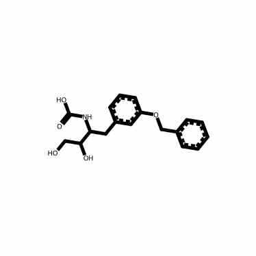 O=C(O)NC(Cc1cccc(OCc2ccccc2)c1)C(O)CO